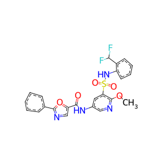 COc1ncc(NC(=O)c2cnc(-c3ccccc3)o2)cc1S(=O)(=O)Nc1ccccc1C(F)F